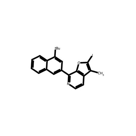 Cc1c(I)oc2c(-c3cc(C(C)(C)C)c4ccccc4c3)nccc12